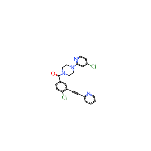 O=C(c1ccc(Cl)c(C#Cc2ccccn2)c1)N1CCN(c2cc(Cl)ccn2)CC1